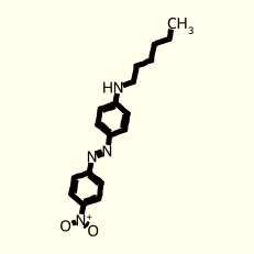 CCCCCCNc1ccc(N=Nc2ccc([N+](=O)[O-])cc2)cc1